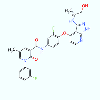 Cc1cc(C(=O)Nc2ccc(Oc3ccnc4[nH]nc(N[C@H](C)CO)c34)c(F)c2)c(=O)n(-c2cccc(F)c2)c1